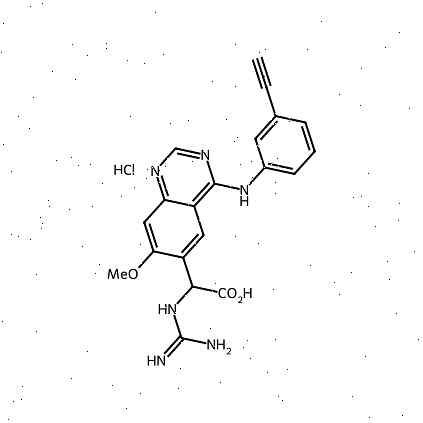 C#Cc1cccc(Nc2ncnc3cc(OC)c(C(NC(=N)N)C(=O)O)cc23)c1.Cl